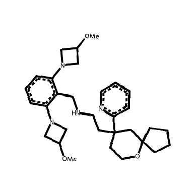 COC1CN(c2cccc(N3CC(OC)C3)c2CNCCC2(c3ccccn3)CCOC3(CCCC3)C2)C1